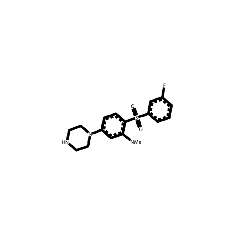 CNc1cc(N2CCNCC2)ccc1S(=O)(=O)c1cccc(F)c1